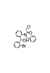 O=C(CCl)N(Cc1ccccc1)c1ccccc1C(O)c1ccccc1Br